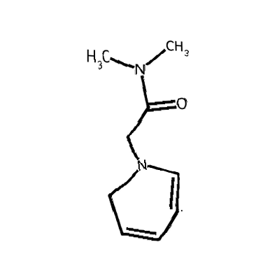 CN(C)C(=O)CN1C=[C]C=CC1